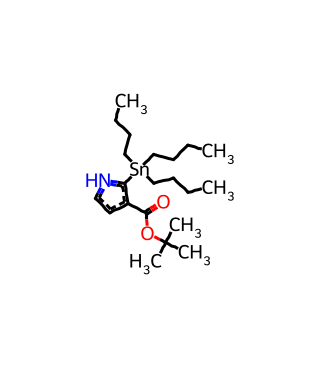 CCC[CH2][Sn]([CH2]CCC)([CH2]CCC)[c]1[nH]ccc1C(=O)OC(C)(C)C